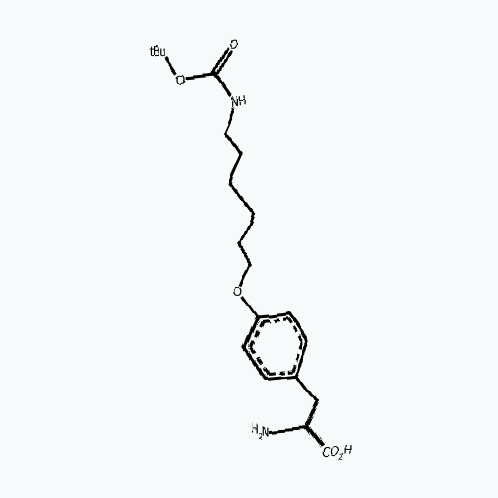 CC(C)(C)OC(=O)NCCCCCCOc1ccc(CC(N)C(=O)O)cc1